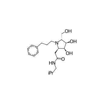 CC(C)CNC(=O)C[C@@H]1[C@H](O)[C@H](O)[C@@H](CO)N1CCCc1ccccc1